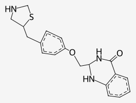 O=C1NC(COc2ccc(CC3CNCS3)cc2)Nc2ccccc21